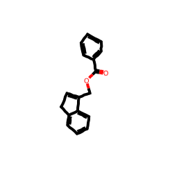 O=C(OCC1=CCc2ccccc21)c1ccccc1